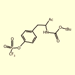 CC(=O)C(Cc1ccc(OS(=O)(=O)C(F)(F)F)cc1)NC(=O)OC(C)(C)C